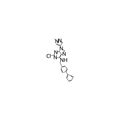 Cn1cc(-n2cnc3c(NCc4ccc(-c5ccccc5)cc4)nc(Cl)nc32)cn1